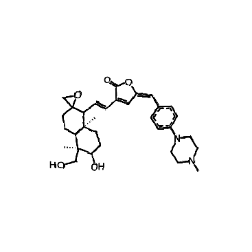 CN1CCN(c2ccc(/C=C3C=C(/C=C/C4C5(CCC6[C@]4(C)CC[C@@H](O)[C@@]6(C)CO)CO5)C(=O)O\3)cc2)CC1